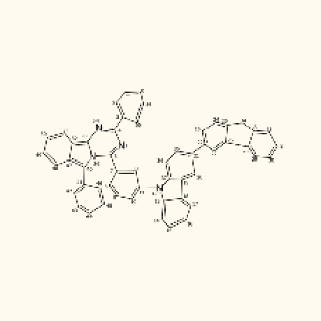 c1ccc(-c2nc(-c3cccc(-n4c5ccccc5c5cc(-c6ccc7c(c6)-c6ccccc6C7)ccc54)c3)n3c(-c4ccccc4)c4ccccc4c3n2)cc1